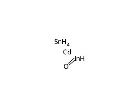 [Cd].[O]=[InH].[SnH4]